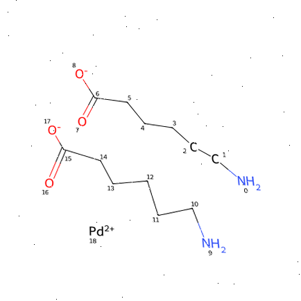 NCCCCCC(=O)[O-].NCCCCCC(=O)[O-].[Pd+2]